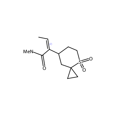 C/C=C(\C(=O)NC)C1CCS(=O)(=O)C2(CC2)C1